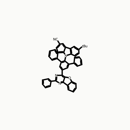 CC(C)(C)c1ccc2c(c1)c1cc(C#N)ccc1n2-c1c(-c2ccccc2)cc(-c2nc(-c3ccccc3)nc3c2oc2ccccc23)cc1-c1ccccc1